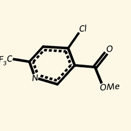 COC(=O)c1cnc(C(F)(F)F)cc1Cl